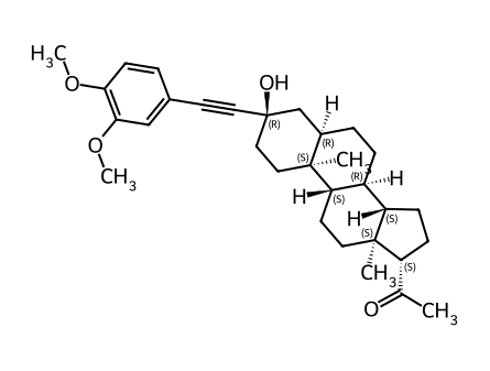 COc1ccc(C#C[C@@]2(O)CC[C@@]3(C)[C@H](CC[C@@H]4[C@@H]3CC[C@]3(C)[C@@H](C(C)=O)CC[C@@H]43)C2)cc1OC